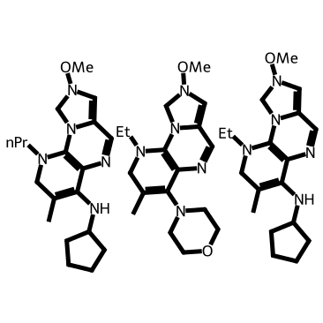 CCCN1CC(C)=C(NC2CCCC2)C2=C1N1CN(OC)C=C1C=N2.CCN1CC(C)=C(N2CCOCC2)C2=C1N1CN(OC)C=C1C=N2.CCN1CC(C)=C(NC2CCCC2)C2=C1N1CN(OC)C=C1C=N2